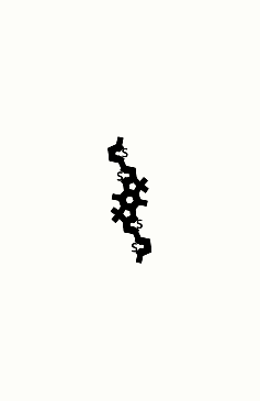 Cc1ccc(-c2cc3c(s2)-c2c(C)c4c(c(C)c2C3(C)C)-c2sc(-c3ccc(C)s3)cc2C4(C)C)s1